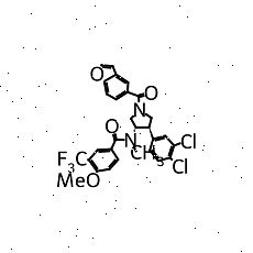 COc1ccc(C(=O)N(C)[C@@H]2CN(C(=O)c3ccc4occc4c3)C[C@H]2c2ccc(Cl)c(Cl)c2)cc1C(F)(F)F